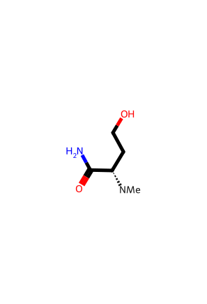 CN[C@@H](CCO)C(N)=O